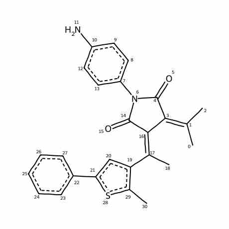 CC(C)=C1C(=O)N(c2ccc(N)cc2)C(=O)C1=C(C)c1cc(-c2ccccc2)sc1C